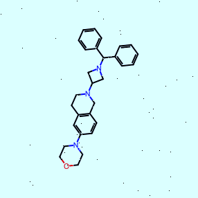 c1ccc(C(c2ccccc2)N2CC(N3CCc4cc(N5CCOCC5)ccc4C3)C2)cc1